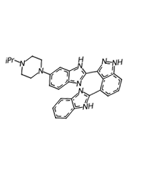 CC(C)N1CCN(c2ccc3nc(-c4n[nH]c5cccc(-c6nc7ccccc7[nH]6)c45)[nH]c3c2)CC1